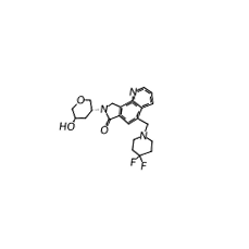 O=C1c2cc(CN3CCC(F)(F)CC3)c3cccnc3c2CN1[C@H]1COC[C@H](O)C1